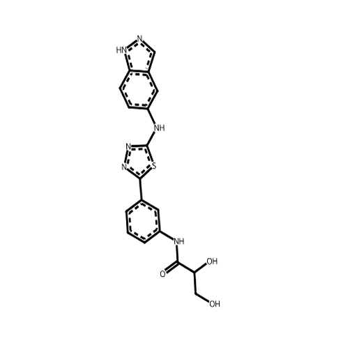 O=C(Nc1cccc(-c2nnc(Nc3ccc4[nH]ncc4c3)s2)c1)C(O)CO